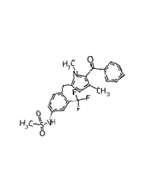 Cc1cc(Cc2ccc(NS(C)(=O)=O)cc2C(F)(F)F)n(C)c1C(=O)c1ccccc1